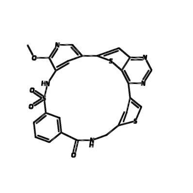 COc1ncc2cc1NS(=O)(=O)c1cccc(c1)C(=O)NCc1cc(cs1)-c1ncnc3cc-2sc13